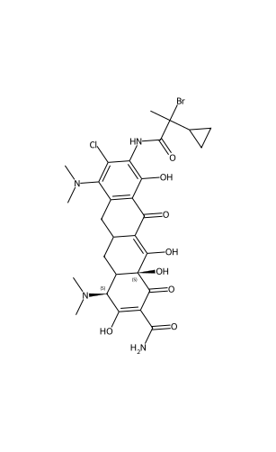 CN(C)c1c(Cl)c(NC(=O)C(C)(Br)C2CC2)c(O)c2c1CC1CC3[C@H](N(C)C)C(O)=C(C(N)=O)C(=O)[C@@]3(O)C(O)=C1C2=O